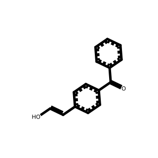 O=C(c1ccccc1)c1ccc(C=CO)cc1